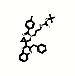 Cc1ccc(C(=O)N(CCCNC(=O)OC(C)(C)C)CC2(c3nc4ccccc4nc3Cc3ccccc3)CC2)cc1